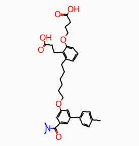 Cc1ccc(-c2cc(OCCCCCCc3cccc(OCCCC(=O)O)c3CCC(=O)O)cc(C(=O)N(C)C)c2)cc1